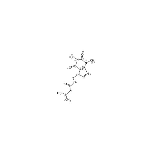 CN(C)CC(=O)OCn1cnc2c1c(=O)n(C)c(=O)n2C